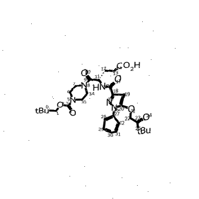 CC(C)(C)COC(=O)N1CCN(C(=O)[C@H](CCC(=O)O)NC(=O)c2cc(OCC(=O)C(C)(C)C)n(-c3ccccc3)n2)CC1